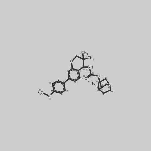 CC1(C)COc2cc(-c3ccc(OC(F)(F)F)cc3)ccc2C1NC(=O)O[C@H]1CN2CCC1CC2